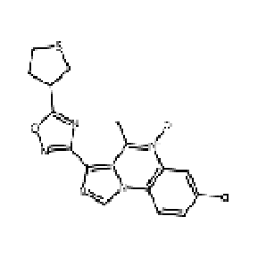 Cc1c2c(-c3noc(C4CCSC4)n3)ncn2c2ccc(Cl)cc2[n+]1[O-]